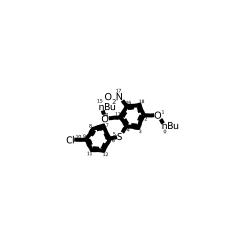 CCCCOc1cc(Sc2ccc(Cl)cc2)c(OCCCC)c([N+](=O)[O-])c1